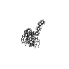 Bc1c(B)c(B)c2c(B)c(-c3nc(-c4cccc(-c5ccc(-c6ccc7ccccc7c6)cc5)c4)nc(-c4cccc5oc6ccccc6c45)n3)c(B)c(B)c2c1B